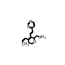 C/C=C\C1=C(/C=C/c2ccncn2)C(CN)OCC1